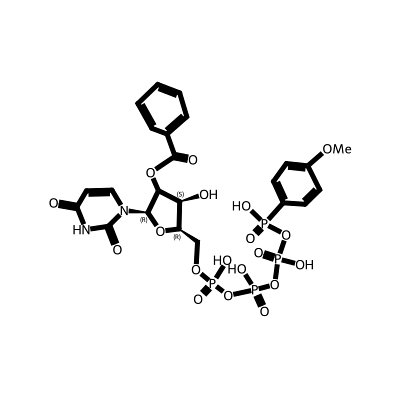 COc1ccc(P(=O)(O)OP(=O)(O)OP(=O)(O)OP(=O)(O)OC[C@H]2O[C@@H](n3ccc(=O)[nH]c3=O)C(OC(=O)c3ccccc3)[C@H]2O)cc1